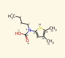 CCCCN(C(=O)O)c1cc(C)c(C)s1